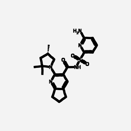 C[C@@H]1CN(c2nc3c(cc2C(=O)NS(=O)(=O)c2cccc(N)n2)CCC3)C(C)(C)C1